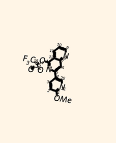 COc1ccc(-c2cc3ncccc3c(OS(=O)(=O)C(F)(F)F)n2)cn1